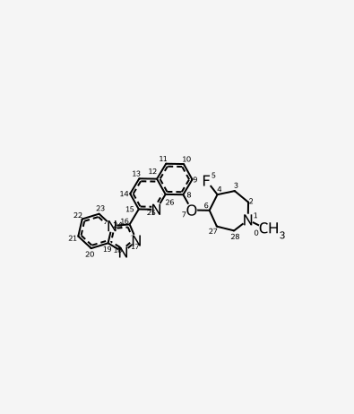 CN1CCC(F)C(Oc2cccc3ccc(-c4nnc5ccccn45)nc23)CC1